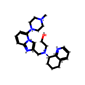 CN1CCN(c2cccc3nc(CN(CCO)[C@H]4CCCc5cccnc54)cn23)CC1